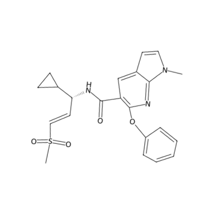 Cn1ccc2cc(C(=O)N[C@H](/C=C/S(C)(=O)=O)C3CC3)c(Oc3ccccc3)nc21